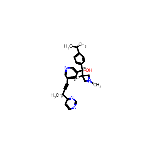 CC(C)c1ccc([C@](O)(c2cncc(C#C[C@@H](C)c3ccncn3)c2)C2(C)CN(C)C2)cc1